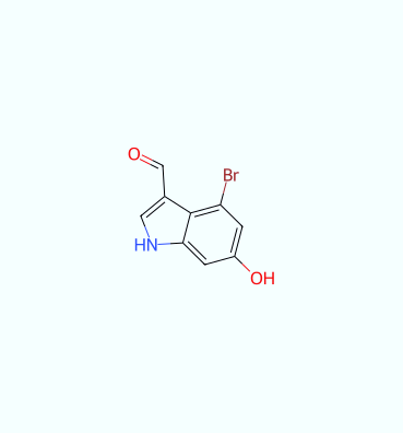 O=Cc1c[nH]c2cc(O)cc(Br)c12